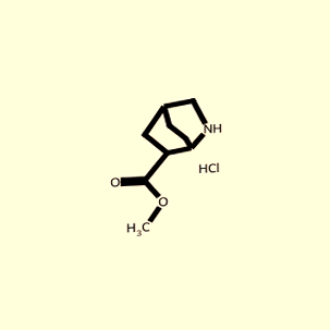 COC(=O)C1CC2CCC1NC2.Cl